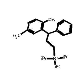 Cc1ccc(O)c(C(CC[N+](C(C)C)(C(C)C)C(C)C)c2ccccc2)c1